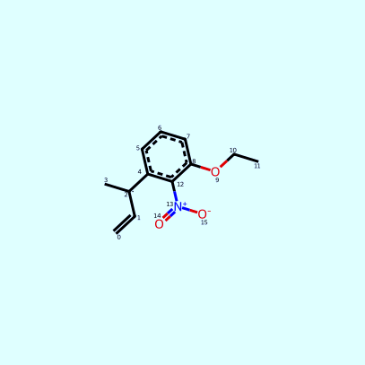 C=C[C](C)c1cccc(OCC)c1[N+](=O)[O-]